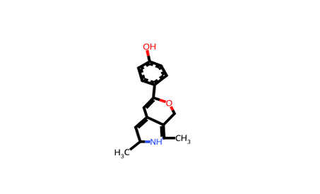 CC1=C2COC(c3ccc(O)cc3)=CC2=CC(C)N1